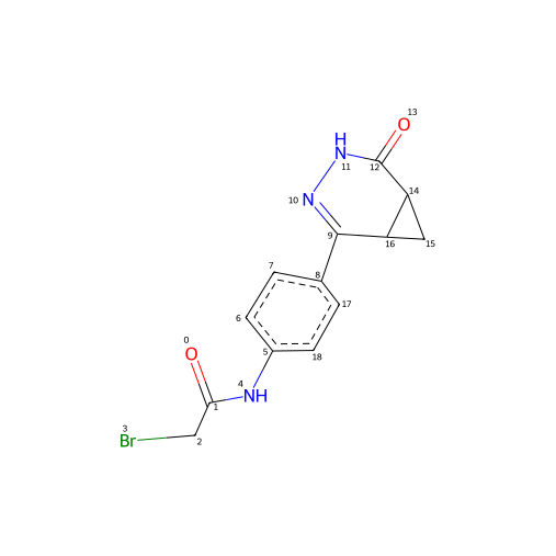 O=C(CBr)Nc1ccc(C2=NNC(=O)C3CC23)cc1